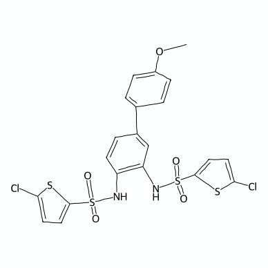 COc1ccc(-c2ccc(NS(=O)(=O)c3ccc(Cl)s3)c(NS(=O)(=O)c3ccc(Cl)s3)c2)cc1